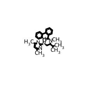 Cc1cc(C)nc(NCC(C(C)C)N(C)C(=O)c2ccccc2-c2ccccc2)n1